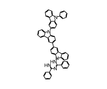 N=C(/N=C(\Nn1c2ccccc2c2cc(-c3ccc4c(c3)c3ccccc3n4-c3ccc4c(c3)c3ccccc3n4-c3ccccc3)ccc21)c1ccccc1)c1ccccc1